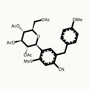 COc1ccc(Cc2cc([C@@H]3O[C@H](COC(C)=O)[C@@H](OC(C)=O)[C@H](OC(C)=O)[C@H]3OC(C)=O)c(SC)cc2C#N)cc1